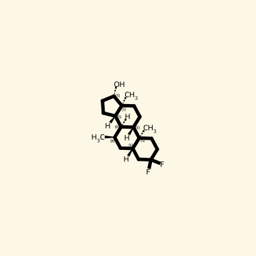 C[C@@H]1C[C@H]2CC(F)(F)CC[C@]2(C)[C@H]2CC[C@]3(C)[C@@H](O)CC[C@H]3[C@H]12